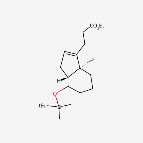 CCOC(=O)CCC1=CC[C@H]2C(O[Si](C)(C)C(C)(C)C)CCC[C@]12C